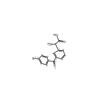 NC(C(=O)O)c1cccc(C(=O)c2ccc(Br)cc2)c1